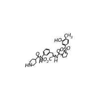 Cc1ccc(S(=O)(=O)N2CCC[C@H]2C(=O)N[C@@H](Cc2cccc(NC(=O)C3CCNCC3)c2)C(=O)O)cc1O